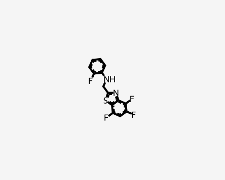 Fc1ccccc1NCc1nc2c(F)c(F)cc(F)c2s1